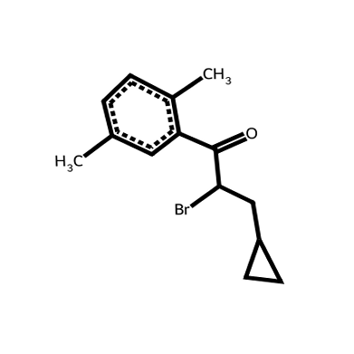 Cc1ccc(C)c(C(=O)C(Br)CC2CC2)c1